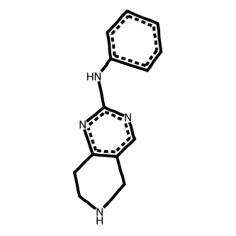 c1ccc(Nc2ncc3c(n2)CCNC3)cc1